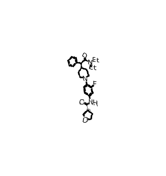 CCN(CC)C(=O)C(c1ccccc1)C1CCN(c2ccc(NC(=O)[C@@H]3CCOC3)cc2F)CC1